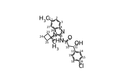 Cc1ccc2nc(NC(=O)C[C@H](O)c3ccc(Cl)cc3)n(C3(C)CCC3)c2c1